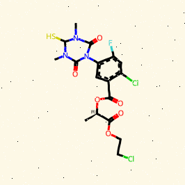 C[C@@H](OC(=O)c1cc(N2C(=O)N(C)C(S)N(C)C2=O)c(F)cc1Cl)C(=O)OCCCl